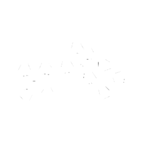 c1ccc(-c2c(-c3ccccc3)c3cc(-c4ccc(N(c5ccc6c(c5)C(c5ccccc5)(c5ccccc5)c5ccccc5-6)c5cccc6ccccc56)cc4)ccc3c3ccccc23)cc1